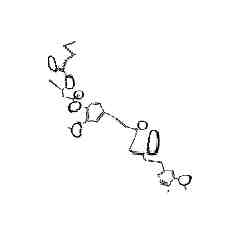 CCCC(=O)O[C@H](C)CC(=O)Oc1ccc(/C=C/C(=O)CC(=O)/C=C/c2cc[c]c(OC)c2)cc1OC